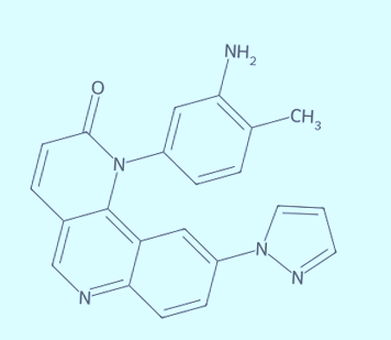 Cc1ccc(-n2c(=O)ccc3cnc4ccc(-n5cccn5)cc4c32)cc1N